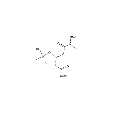 COC(=O)C[C@@H](CC(=O)N(C)OC)O[Si](C)(C)C(C)(C)C